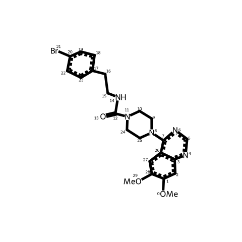 COc1cc2ncnc(N3CCN(C(=O)NCCc4ccc(Br)cc4)CC3)c2cc1OC